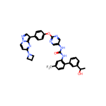 CC(O)c1cccc(-c2ccc(C(F)(F)F)cc2NC(=O)Nc2cnc(Oc3ccc(-c4cnn5ccc(N6CCC6)nc45)cc3)nc2)c1